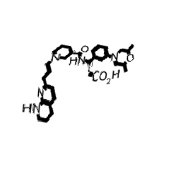 CC1CN(c2cccc([C@H](CC(=O)O)NC(=O)[C@@H]3CCCN(CCCc4ccc5c(n4)NCCC5)C3)c2)CC(C)O1